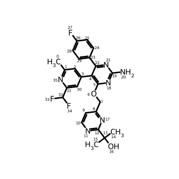 Cc1cc(-c2c(OCc3ccnc(C(C)(C)O)n3)nc(N)nc2-c2ccc(F)cc2)cc(C(F)F)n1